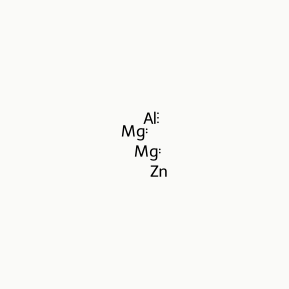 [Al].[Mg].[Mg].[Zn]